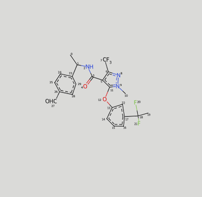 CC(NC(=O)c1c(C(F)(F)F)nn(C)c1Oc1cccc(C(C)(F)F)c1)c1ccc(C=O)cc1